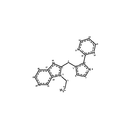 CCn1c(Cn2ccnc2-c2ncccn2)nc2ccncc21